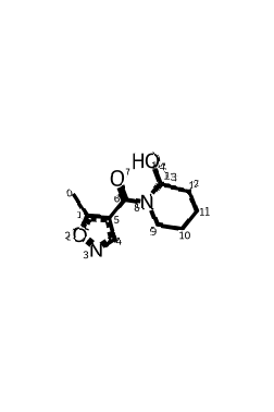 Cc1oncc1C(=O)N1CCCCC1O